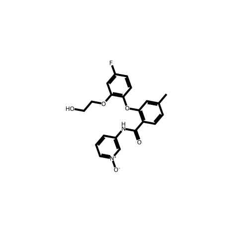 Cc1ccc(C(=O)Nc2ccc[n+]([O-])c2)c(Oc2ccc(F)cc2OCCO)c1